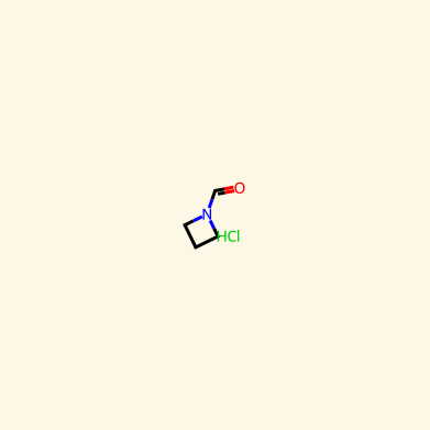 Cl.O=CN1CCC1